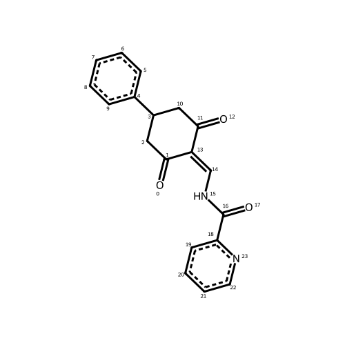 O=C1CC(c2ccccc2)CC(=O)C1=CNC(=O)c1ccccn1